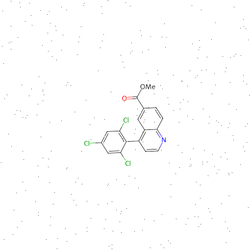 COC(=O)c1ccc2nccc(-c3c(Cl)cc(Cl)cc3Cl)c2c1